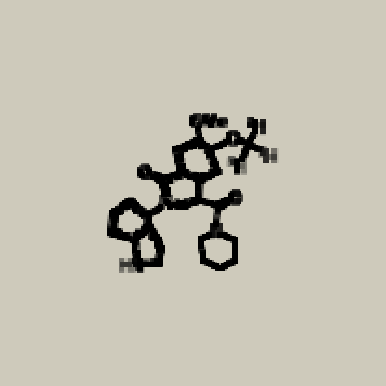 [2H]C([2H])([2H])Oc1cc2c(C(=O)N3CCCCC3)cn(-c3cccc4[nH]ccc34)c(=O)c2cc1OC